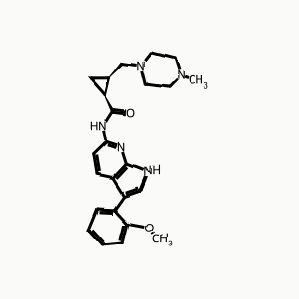 COc1ccccc1-c1c[nH]c2nc(NC(=O)[C@H]3C[C@H]3CN3CCN(C)CC3)ccc12